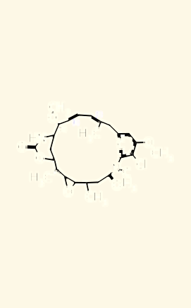 COc1cc2cc(c1Cl)N(C)C(=O)CC(C)C1OC1[C@H](C)C1CC(NC(=O)O1)[C@H](OC)/C=C/C=C(\C)C2